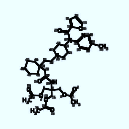 CC(=O)OCC(COC(C)=O)(COC(C)=O)NC(=O)CC1(CCN2CCC(N(C(=O)c3ccco3)c3ccc(C)cn3)CC2)CCCCC1